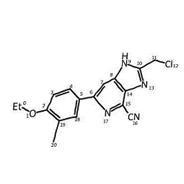 CCOc1ccc(-c2cc3[nH]c(CCl)nc3c(C#N)n2)cc1C